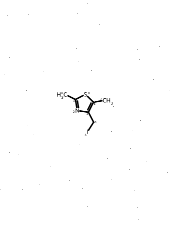 Cc1nc(CI)c(C)s1